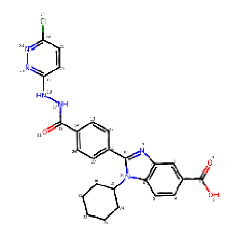 O=C(O)c1ccc2c(c1)nc(-c1ccc(C(=O)NNc3ccc(Cl)nn3)cc1)n2C1CCCCC1